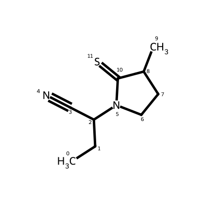 CCC(C#N)N1CCC(C)C1=S